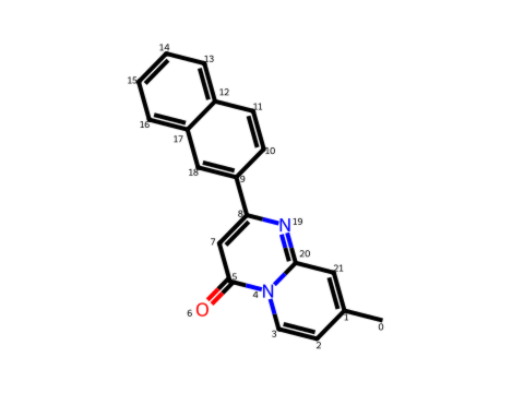 Cc1ccn2c(=O)cc(-c3ccc4ccccc4c3)nc2c1